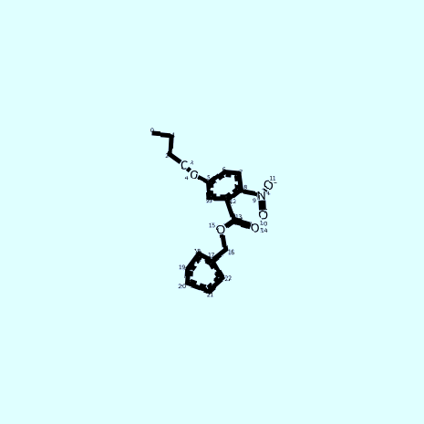 CCCCOc1ccc([N+](=O)[O-])c(C(=O)OCc2ccccc2)c1